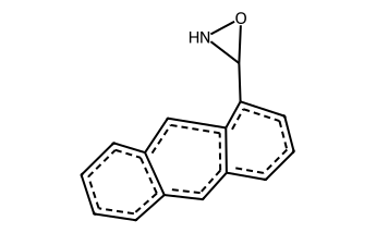 c1ccc2cc3c(C4NO4)cccc3cc2c1